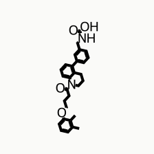 Cc1cccc(OCCCC(=O)N2CCCc3c(-c4cccc(CNC(=O)O)c4)cccc32)c1C